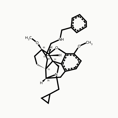 COc1ccc2c3c1O[C@H]1[C@@]4(OC)CC[C@@]5(C[C@H]4CNCc4ccccc4)[C@@H](C2)N(CC2CC2)CC[C@]315